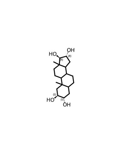 CC12C[C@H](O)[C@@H](O)CC1CCC1C2CCC2(C)C1C[C@@H](O)[C@@H]2O